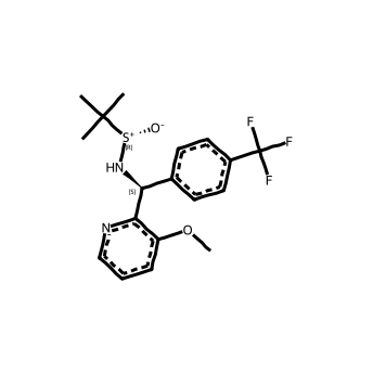 COc1cccnc1[C@@H](N[S@@+]([O-])C(C)(C)C)c1ccc(C(F)(F)F)cc1